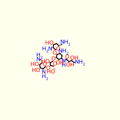 NC[C@@H]1C[C@@H](O)[C@@H](N)[C@@H](O[C@H]2[C@H](O[C@@H]3O[C@H](CO)[C@@H](O[C@H]4O[C@@H](CN)[C@@H](O)[C@H](O)[C@H]4N)[C@H]3O)[C@@H](O)[C@H](NC(=O)C(O)[C@H](O)CN)C[C@@H]2N)O1